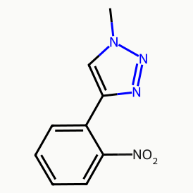 Cn1cc(-c2ccccc2[N+](=O)[O-])nn1